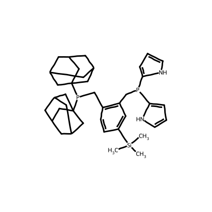 C[Si](C)(C)c1ccc(CP(C23CC4CC(CC(C4)C2)C3)C23CC4CC(CC(C4)C2)C3)c(CP(c2ccc[nH]2)c2ccc[nH]2)c1